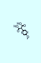 COc1cnc(C(C(=O)O)C(=O)O)cn1